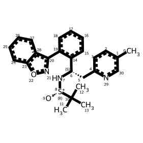 Cc1ccc(C[C@H](N[S@@+]([O-])C(C)(C)C)c2ccccc2-c2noc3ccccc23)nc1